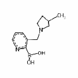 CC1CCN(Cc2cccnc2B(O)O)C1